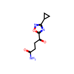 NC(=O)C[CH]C(=O)c1nc(C2CC2)no1